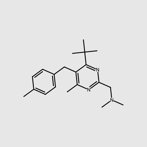 Cc1ccc(Cc2c(C)nc(CN(C)C)nc2C(C)(C)C)cc1